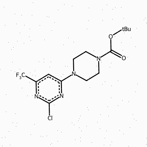 CC(C)(C)OC(=O)N1CCN(c2cc(C(F)(F)F)nc(Cl)n2)CC1